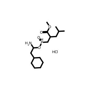 COC(=O)C(CC(C)C)C[PH](=O)OC(N)CC1CCCCC1.Cl